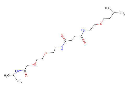 CC(C)CCOCCNC(=O)CCC(=O)NCCOCCOCC(=O)NC(C)C